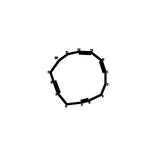 C1=CCCC=CCC=CCCCC=C1